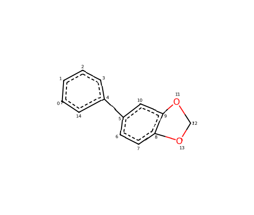 [c]1cccc(-c2ccc3c(c2)OCO3)c1